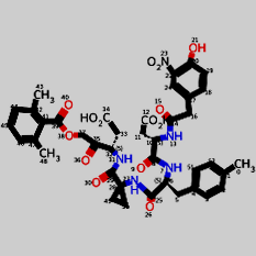 Cc1ccc(C[C@H](NC(=O)[C@H](CC(=O)O)NC(=O)Cc2ccc(O)c([N+](=O)[O-])c2)C(=O)NC2(C(=O)N[C@@H](CC(=O)O)C(=O)COC(=O)c3c(C)cccc3C)CC2)cc1